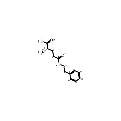 N[C@@H](CCC(=O)OSCc1ccccc1)C(=O)O